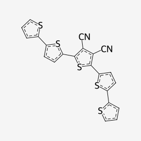 N#Cc1c(-c2ccc(-c3cccs3)s2)sc(-c2ccc(-c3cccs3)s2)c1C#N